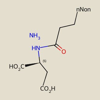 CCCCCCCCCCCC(=O)N[C@@H](CC(=O)O)C(=O)O.N